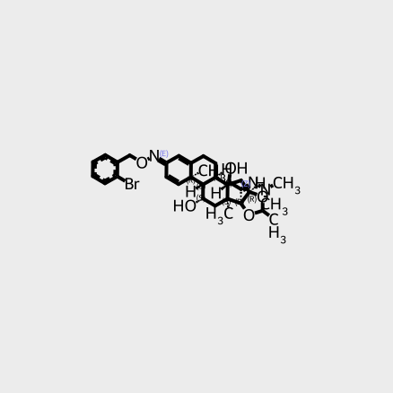 CC1O[C@@H]2C[C@H]3[C@@H]4CCC5=C/C(=N/OCc6ccccc6Br)C=C[C@]5(C)[C@H]4[C@@H](O)C[C@]3(C)[C@]2(/C(CO)=N\N(C)C)O1